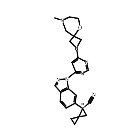 CN1CCOC2(C1)CN(c1cc(-n3ncc4ccc([C@]5(C#N)CC56CC6)cc43)ncn1)C2